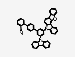 N#Cc1ccccc1-c1ccc(-c2cc(-n3c4ccccc4c4ccccc43)cc(-n3c4ccccc4c4c5oc6ccccc6c5ccc43)c2)cc1